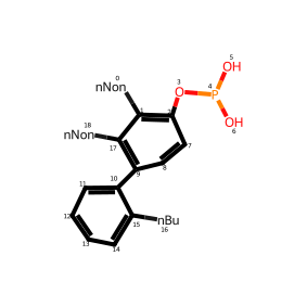 CCCCCCCCCc1c(OP(O)O)ccc(-c2ccccc2CCCC)c1CCCCCCCCC